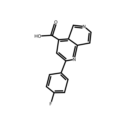 O=C(O)c1cc(-c2ccc(F)cc2)nc2ccncc12